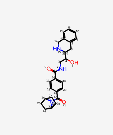 O=C(NCC(O)[C@@H]1Cc2ccccc2CN1)c1ccc(C(=O)N2C3CCC2CC3)cc1